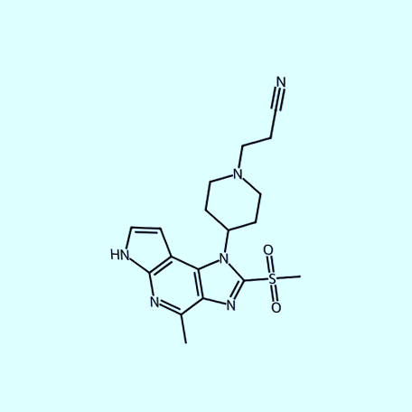 Cc1nc2[nH]ccc2c2c1nc(S(C)(=O)=O)n2C1CCN(CCC#N)CC1